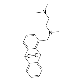 CN(C)CCN(C)Cc1cccc2c1C1CCC2c2ccccc21